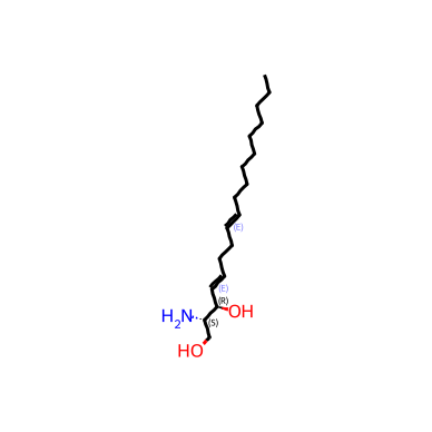 CCCCCCCCC/C=C/CC/C=C/[C@@H](O)[C@@H](N)CO